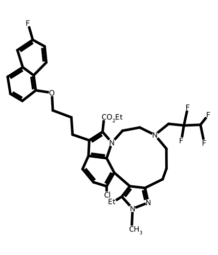 CCOC(=O)c1c(CCCOc2cccc3cc(F)ccc23)c2ccc(Cl)c3c2n1CCN(CC(F)(F)C(F)F)CCCc1nn(C)c(CC)c1-3